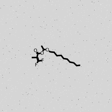 CCCCCCCCCCOC(C)OC(=O)C(C)=C(F)F